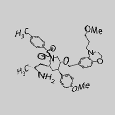 COCCCN1CCOc2ccc(CO[C@H]3CN(S(=O)(=O)c4ccc(C)cc4)[C@H](C[C@@H](C)N)C[C@@H]3c3ccc(OC)cc3)cc21